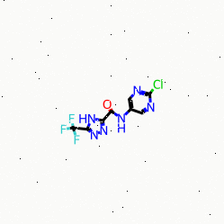 O=C(Nc1cnc(Cl)nc1)c1nnc(C(F)(F)F)[nH]1